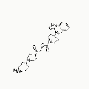 O=C(COC(=O)N1CCC(N2Cc3ccccc3NC2=O)CC1)N1CCN(C2CCNCC2)CC1